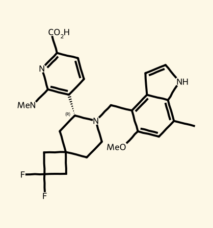 CNc1nc(C(=O)O)ccc1[C@H]1CC2(CCN1Cc1c(OC)cc(C)c3[nH]ccc13)CC(F)(F)C2